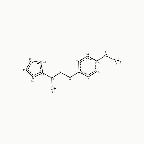 NOc1ccc(CCC(O)c2nccs2)cc1